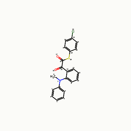 CN(c1ccccc1)c1ccccc1C(=O)C(=O)Sc1ccc(Cl)cc1